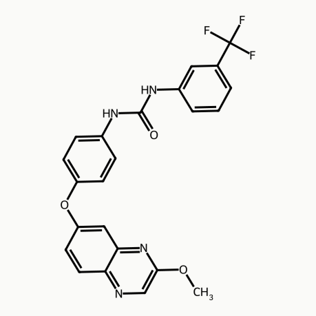 COc1cnc2ccc(Oc3ccc(NC(=O)Nc4cccc(C(F)(F)F)c4)cc3)cc2n1